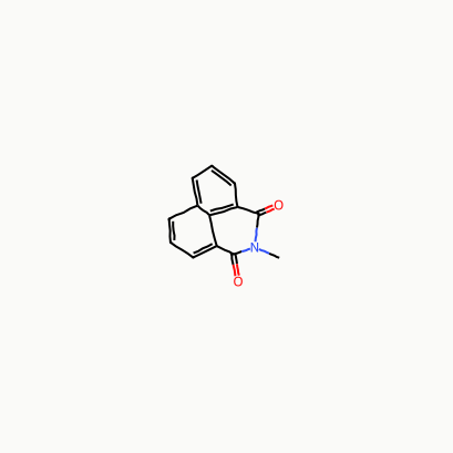 CN1C(=O)c2cccc3cccc(c23)C1=O